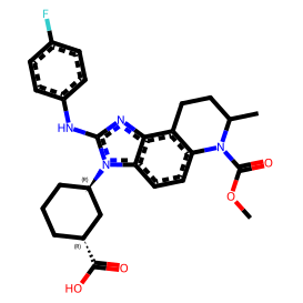 COC(=O)N1c2ccc3c(nc(Nc4ccc(F)cc4)n3[C@@H]3CCC[C@@H](C(=O)O)C3)c2CCC1C